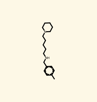 Cc1ccc(CNCCCCCN2CC[CH]CC2)cc1